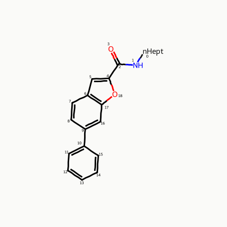 CCCCCCCNC(=O)c1cc2ccc(-c3ccccc3)cc2o1